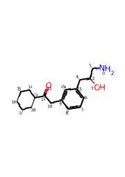 NCC(O)Cc1cccc(CC(=O)C2CCCCC2)c1